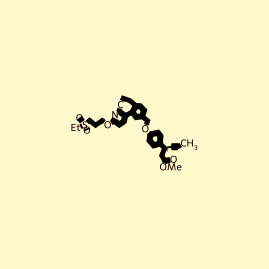 CC#C[C@@H](CC(=O)OC)c1ccc(OCc2ccc3c(c2)-c2ccc(OCCCS(=O)(=O)CC)nc2CCC3)cc1